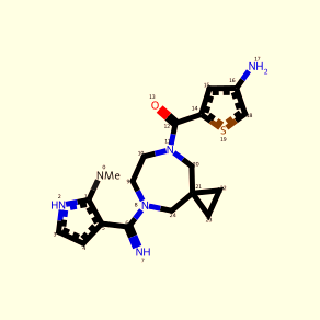 CNc1[nH]ccc1C(=N)N1CCN(C(=O)c2cc(N)cs2)CC2(CC2)C1